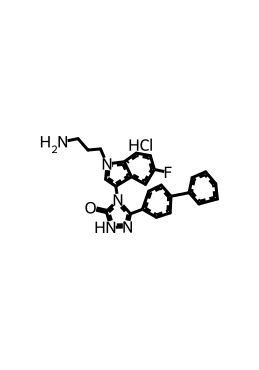 Cl.NCCCn1cc(-n2c(-c3ccc(-c4ccccc4)cc3)n[nH]c2=O)c2cc(F)ccc21